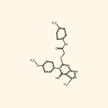 COc1ccc(-n2c(SCC(=O)Nc3ccc(C)cc3)nc3[nH]nc(C)c3c2=N)cc1